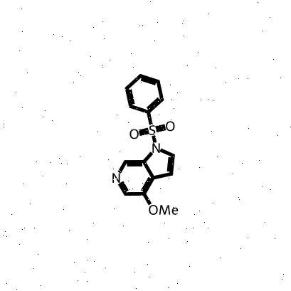 COc1cncc2c1ccn2S(=O)(=O)c1ccccc1